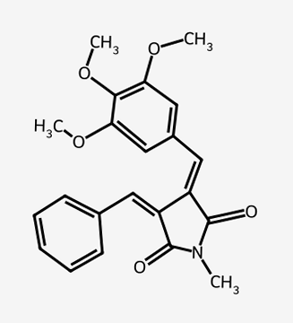 COc1cc(C=C2C(=O)N(C)C(=O)C2=Cc2ccccc2)cc(OC)c1OC